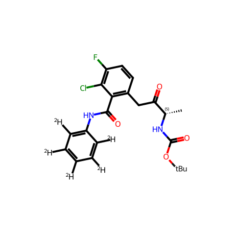 [2H]c1c([2H])c([2H])c(NC(=O)c2c(CC(=O)[C@H](C)NC(=O)OC(C)(C)C)ccc(F)c2Cl)c([2H])c1[2H]